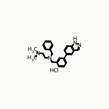 CN(C)CCN(Cc1ccccc1)Cc1cccc(-c2ccc3[nH]ncc3c2)c1.Cl